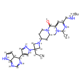 CN1C(C(=O)N2CCC(N3CC(CC#N)(n4cc(C5N=CN=C6NC=CC65)cn4)C3)CC2)=CC(CNC(C)(C)C)=NC1C(F)(F)F